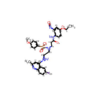 CCOc1ccc(NC(=O)CCN(CCNc2cc(C)nc3ccc(I)cc23)S(=O)(=O)c2ccc(OC)cc2)c(N=O)c1